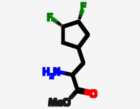 COC(=O)C(N)CC1C[C@@H](F)[C@@H](F)C1